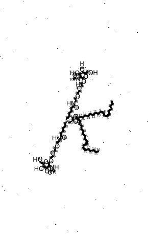 CCCCC/C=C\C/C=C\CCCCCCCCC1(CCCCCCCC/C=C\C/C=C\CCCCC)OC[C@H](CN(CCCCCC(=O)NCCOCCOCCO[C@@H]2OC(CO)[C@H](O)[C@H](O)C2NC(C)=O)CCCCCC(=O)NCCOCCOCCO[C@@H]2OC(CO)[C@H](O)[C@H](O)C2NC(C)=O)O1